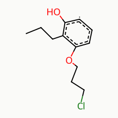 CCCc1c(O)[c]ccc1OCCCCl